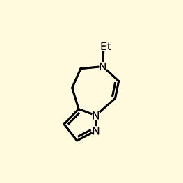 CCN1C=Cn2nccc2CC1